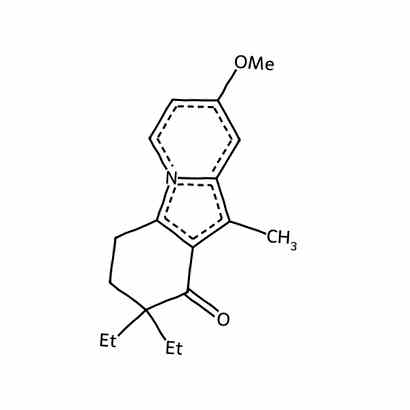 CCC1(CC)CCc2c(c(C)c3cc(OC)ccn23)C1=O